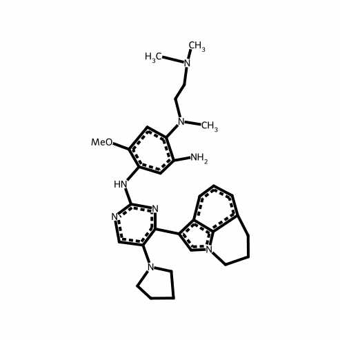 COc1cc(N(C)CCN(C)C)c(N)cc1Nc1ncc(N2CCCC2)c(-c2cn3c4c(cccc24)CCC3)n1